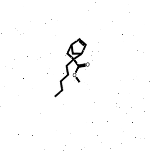 CCCCCC1(C(=O)OC)CC2C=CC1C2